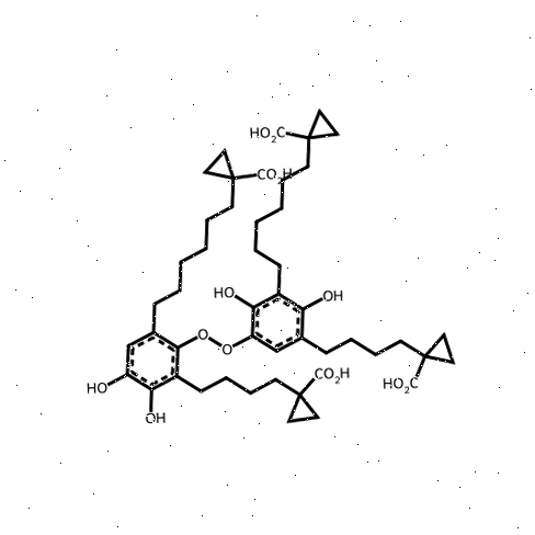 O=C(O)C1(CCCCCCc2cc(O)c(O)c(CCCCC3(C(=O)O)CC3)c2OOc2cc(CCCCC3(C(=O)O)CC3)c(O)c(CCCCCCC3(C(=O)O)CC3)c2O)CC1